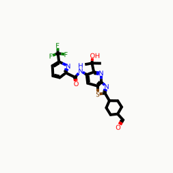 CC(C)(O)c1nc2nc(C3CCC(C=O)CC3)sc2cc1NC(=O)c1cccc(C(F)(F)F)n1